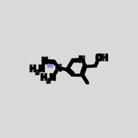 Cc1cc(N(N)/C=N\N)cnc1CO